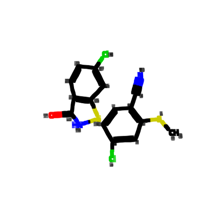 CSc1cc(Cl)ccc1C#N.O=c1[nH]sc2cc(Cl)ccc12